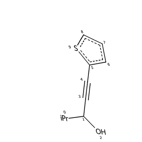 CC(C)C(O)C#Cc1cccs1